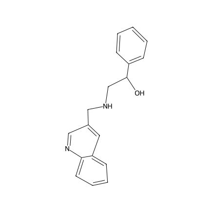 OC(CNCc1cnc2ccccc2c1)c1ccccc1